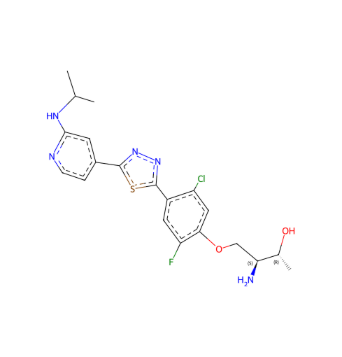 CC(C)Nc1cc(-c2nnc(-c3cc(F)c(OC[C@H](N)[C@@H](C)O)cc3Cl)s2)ccn1